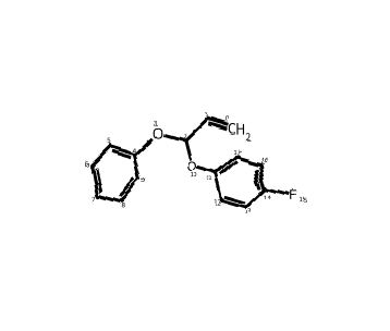 C=CC(Oc1ccccc1)Oc1ccc(F)cc1